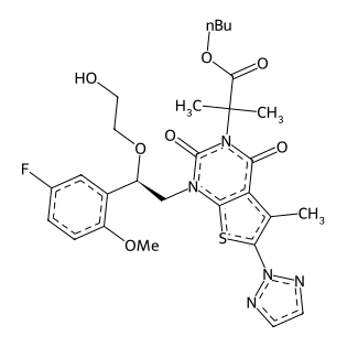 CCCCOC(=O)C(C)(C)n1c(=O)c2c(C)c(-n3nccn3)sc2n(C[C@H](OCCO)c2cc(F)ccc2OC)c1=O